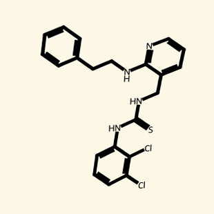 S=C(NCc1cccnc1NCCc1ccccc1)Nc1cccc(Cl)c1Cl